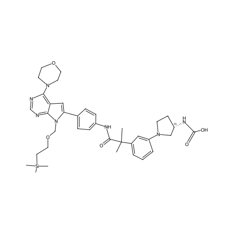 CC(C)(C(=O)Nc1ccc(-c2cc3c(N4CCOCC4)ncnc3n2COCC[Si](C)(C)C)cc1)c1cccc(N2CC[C@H](NC(=O)O)C2)c1